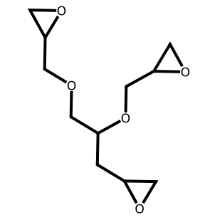 C(OCC(CC1CO1)OCC1CO1)C1CO1